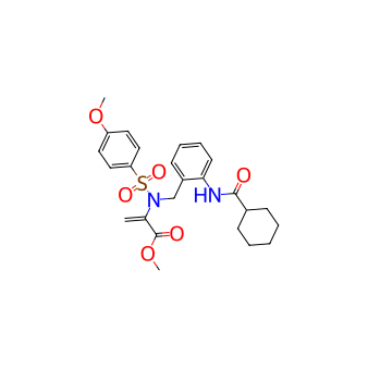 C=C(C(=O)OC)N(Cc1ccccc1NC(=O)C1CCCCC1)S(=O)(=O)c1ccc(OC)cc1